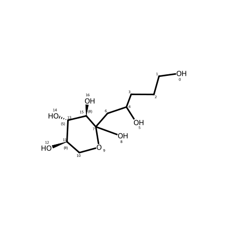 OCCCC(O)CC1(O)OC[C@@H](O)[C@H](O)[C@H]1O